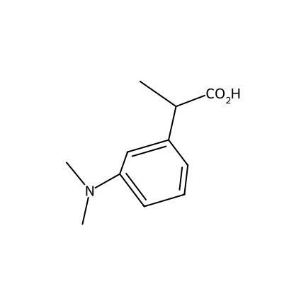 CC(C(=O)O)c1cccc(N(C)C)c1